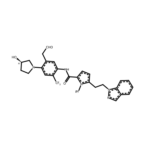 CC(C)n1c(CCn2ncc3ccccc32)ccc1C(=O)Nc1cc(CC=O)c(N2CC[C@@H](O)C2)cc1C(F)(F)F